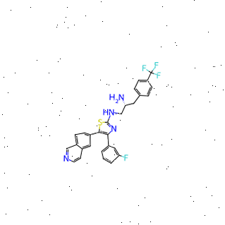 N[C@@H](CNc1nc(-c2cccc(F)c2)c(-c2ccc3cnccc3c2)s1)Cc1ccc(C(F)(F)F)cc1